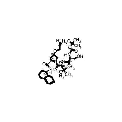 C#CCO[C@H]1C[C@@H](C(=O)N[C@@H]2CCCc3ccccc32)N(C(=O)[C@@H](NC(=O)[C@H](CO)NC(=O)OC(C)(C)C)C(C)(C)C)C1